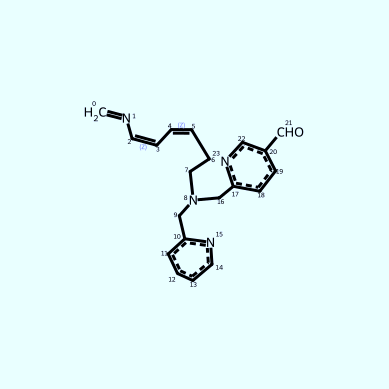 C=N/C=C\C=C/CCN(Cc1ccccn1)Cc1ccc(C=O)cn1